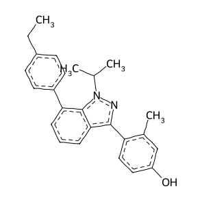 CCc1ccc(-c2cccc3c(-c4ccc(O)cc4C)nn(C(C)C)c23)cc1